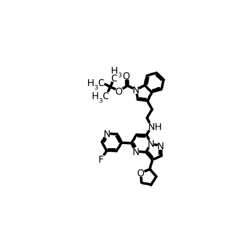 CC(C)(C)OC(=O)n1cc(CCNc2cc(-c3cncc(F)c3)nc3c(C4CCCO4)cnn23)c2ccccc21